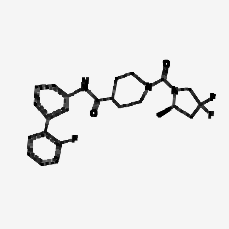 C[C@@H]1CC(F)(F)CN1C(=O)N1CCC(C(=O)Nc2cccc(-c3ccccc3F)c2)CC1